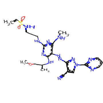 C=CS(=O)(=O)NCCNc1nc(NC)c(N=Nc2nn(-c3ncccn3)cc2C#N)c(NC(C)COC)n1